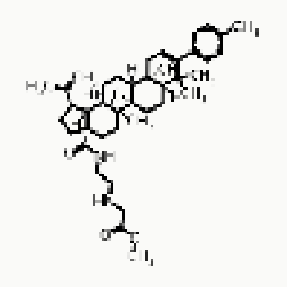 C=C(C)[C@@H]1CC[C@]2(C(=O)NCCNCC(=O)OC)CC[C@]3(C)[C@H](CC[C@@H]4[C@@]5(C)CC=C(c6ccc(C)cc6)C(C)(C)[C@@H]5CC[C@]43C)[C@@H]12